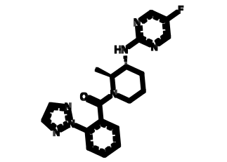 C[C@H]1[C@H](Nc2ncc(F)cn2)CCCN1C(=O)c1ccccc1-n1nccn1